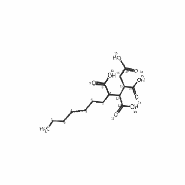 CCCCCCCC(C(=O)O)C(C(=O)O)C(CC(=O)O)C(=O)O